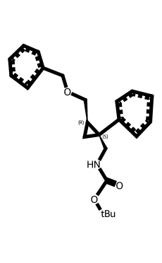 CC(C)(C)OC(=O)NC[C@@]1(c2ccccc2)C[C@H]1COCc1ccccc1